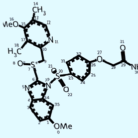 COc1ccc2nc([S+]([O-])Cc3ncc(C)c(OC)c3C)n(S(=O)(=O)c3ccc(OCC(N)=O)cc3)c2c1